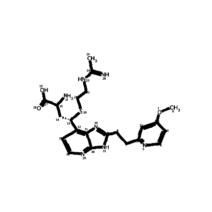 COc1ccnc(CCc2nc3c([C@H](CC(N)C(=O)O)SCCNC(C)=N)ccnc3[nH]2)c1